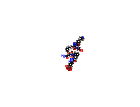 Cc1ncsc1-c1ccc([C@H](C)NC(=O)[C@@H]2C[C@@H](O)CN2C(=O)[C@@H](NC(=O)CCCc2cccc(OC[C@H](CCC(N)=O)NC(=O)[C@@H]3Cc4cccc5c4N3C(=O)[C@@H](NC(=O)c3cc4cc(C(=O)P(=O)(O)O)ccc4[nH]3)CC5)c2)C(C)(C)C)cc1